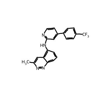 Cc1cc2c(Nc3cc(-c4ccc(C(F)(F)F)cc4)ccn3)cccc2nn1